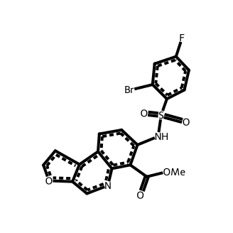 COC(=O)c1c(NS(=O)(=O)c2ccc(F)cc2Br)ccc2c1ncc1occc12